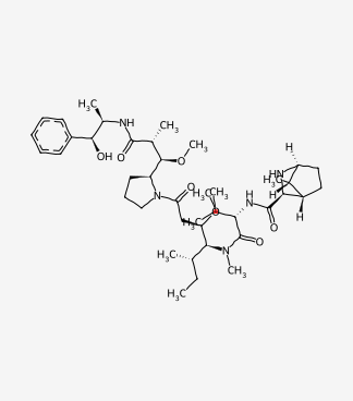 CC[C@H](C)[C@@H]([C@@H](CC(=O)N1CCC[C@H]1[C@H](OC)[C@@H](C)C(=O)N[C@H](C)[C@@H](O)c1ccccc1)OC)N(C)C(=O)[C@@H](NC(=O)[C@H]1N[C@H]2CC[C@H]1[C@@H]2C)C(C)C